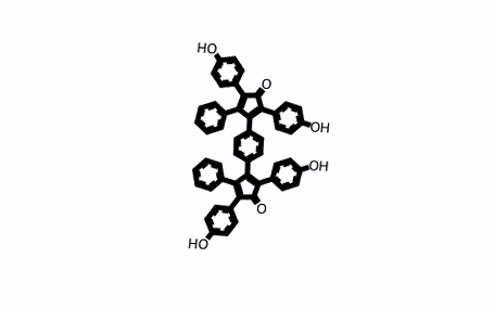 O=C1C(c2ccc(O)cc2)=C(c2ccccc2)C(c2ccc(C3=C(c4ccc(O)cc4)C(=O)C(c4ccc(O)cc4)=C3c3ccccc3)cc2)=C1c1ccc(O)cc1